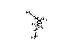 CC1CCC(C(C)(C)SCCSCCS)CC1SCCSCCS